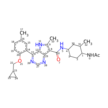 CC(=O)NC1CCC(NC(=O)c2c(C)[nH]c3c(-c4cc(C)ccc4OCC4CC4)ncnc23)CC1C